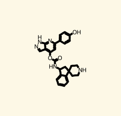 O=C(NC1CC2(CCNCC2)c2ccccc21)Oc1cc(-c2ccc(O)cc2)nc2[nH]ncc12